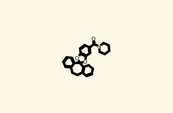 O=C(c1ccc2c(c1)OC1(O2)C2=C(C=CCC2)CCc2ccccc21)N1CCCCC1